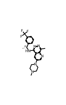 Cc1nnc(N[C@H](C)c2cccc(C(F)(F)F)c2)c2cc(N3CCN(C)CC3)cnc12